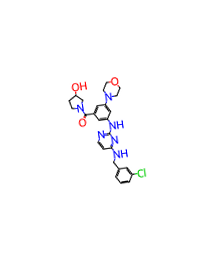 O=C(c1cc(Nc2nccc(NCc3cccc(Cl)c3)n2)cc(N2CCOCC2)c1)N1CC[C@@H](O)C1